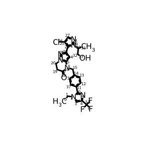 CCn1cc(C(F)(F)F)nc1-c1ccc(CN2C(=O)CCn3nc(-c4c(Cl)cnn4C(C)CO)cc32)cc1